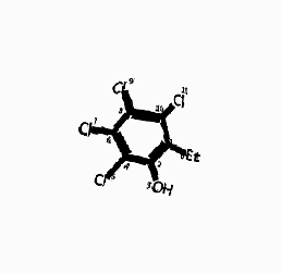 CCc1c(O)c(Cl)c(Cl)c(Cl)c1Cl